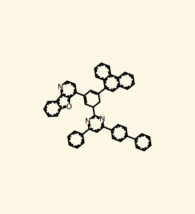 C1=C(c2cc3ccccc3c3ccccc23)CC(c2nc(-c3ccccc3)cc(-c3ccc(-c4ccccc4)cc3)n2)C=C1c1ccnc2c1oc1ccccc12